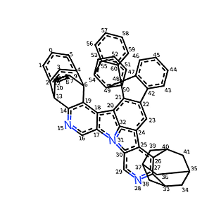 c1cc2cc(c1)C1c3ccccc3C2c2ncc3c(c21)c1c2c(cc4c5c6c(ncc5n3c41)C1CC3CC(C1)CC6C3)-c1ccccc1C21c2ccccc2-c2ccccc21